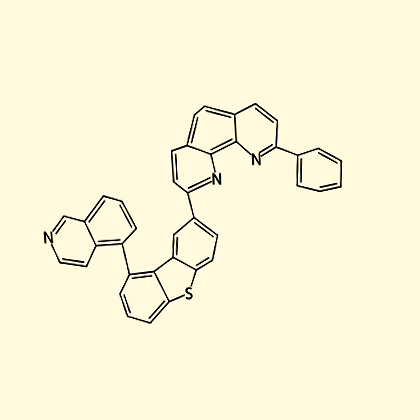 c1ccc(-c2ccc3ccc4ccc(-c5ccc6sc7cccc(-c8cccc9cnccc89)c7c6c5)nc4c3n2)cc1